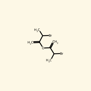 C=C(OC(=C)C(C)Br)C(C)Br